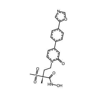 C[C@@](CCn1ccc(-c2ccc(-c3cnco3)cc2)cc1=O)(C(=O)NO)S(C)(=O)=O